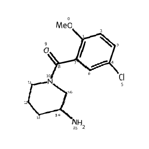 COc1ccc(Cl)cc1C(=O)N1CCCC(N)C1